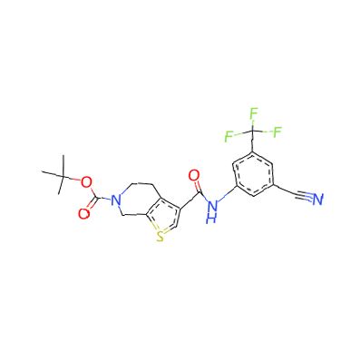 CC(C)(C)OC(=O)N1CCc2c(C(=O)Nc3cc(C#N)cc(C(F)(F)F)c3)csc2C1